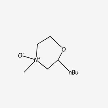 CCCCC1C[N+](C)([O-])CCO1